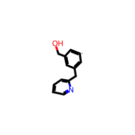 OCc1c[c]cc(Cc2ccccn2)c1